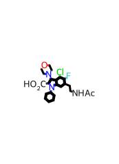 CC(=O)NCCc1cc2c(c(Cl)c1F)c(N1CCOCC1)c(C(=O)O)n2-c1ccccc1